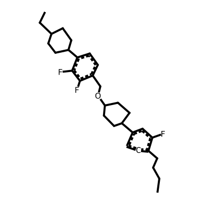 CCCCc1ccc(C2CCC(OCc3ccc(C4CCC(CC)CC4)c(F)c3F)CC2)cc1F